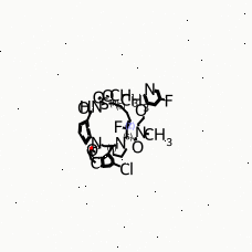 C[C@@H]1[C@@H](C)C/C=C(\F)[C@H](C(=O)N(C)CCOc2cncc(F)c2)N2CCC[C@@]23CN2CCCCc4cc(Cl)cc3c4COc3ccc(cc32)C(=O)NS1(=O)=O